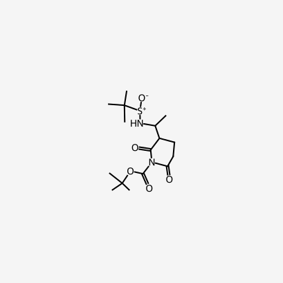 CC(N[S+]([O-])C(C)(C)C)C1CCC(=O)N(C(=O)OC(C)(C)C)C1=O